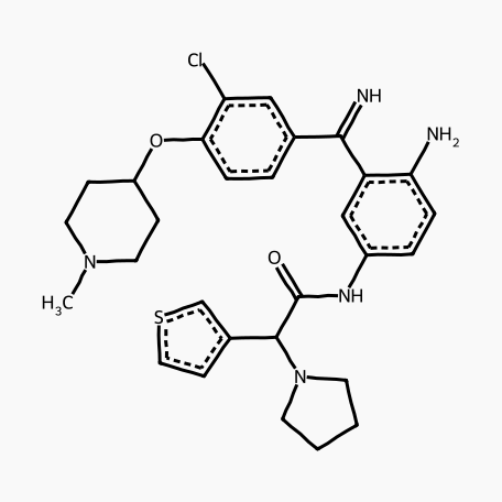 CN1CCC(Oc2ccc(C(=N)c3cc(NC(=O)C(c4ccsc4)N4CCCC4)ccc3N)cc2Cl)CC1